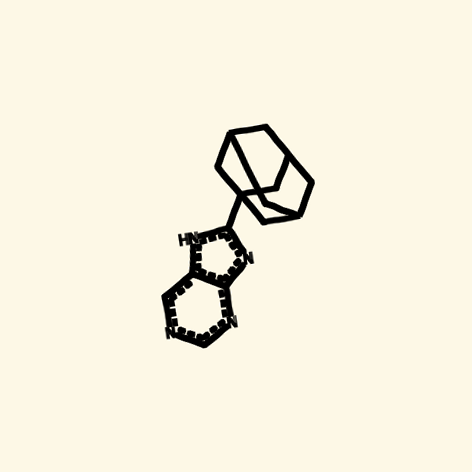 c1ncc2[nH]c(C34CC5CC(CC(C5)C3)C4)nc2n1